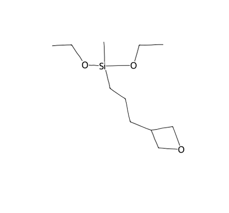 CCO[Si](C)(CCCC1COC1)OCC